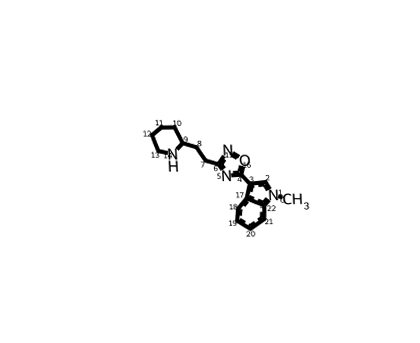 Cn1cc(-c2nc(CCC3CCCCN3)no2)c2ccccc21